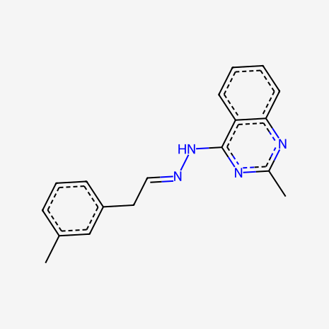 Cc1cccc(CC=NNc2nc(C)nc3ccccc23)c1